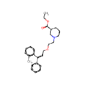 CCOC(=O)C1CCCN(CCOCC=C(c2ccccc2)c2ccccc2C)C1